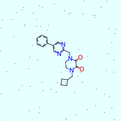 O=C1C(=O)N(CC2CCC2)CCN1Cc1ncc(-c2ccccc2)cn1